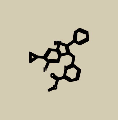 COC(=O)c1cccc(Cc2c(-c3ccccc3)[nH]c3cc(C4CC4)c(F)cc23)n1